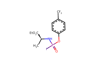 CCOC(=O)[C@H](C)NP(=O)(I)Oc1ccc(C(F)(F)F)cc1